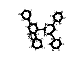 c1ccc(-c2cc(-c3nc(-c4ccccc4)cc(-c4ccccc4)n3)c3c(c2)sc2ccccc23)cc1